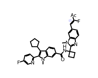 CC(=O)/C(F)=C/c1ccc2nc(C3(NC(=O)c4ccc5c(C6CCCC6)c(-c6ccc(F)cn6)n(C)c5c4)CCC3)n(C)c2c1